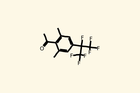 CC(=O)c1c(C)cc(C(F)(C(F)(F)F)C(F)(F)F)cc1C